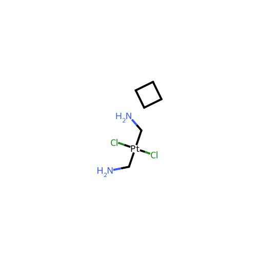 C1CCC1.N[CH2][Pt]([Cl])([Cl])[CH2]N